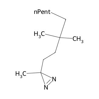 CCCCCCC(C)(C)CCC1(C)N=N1